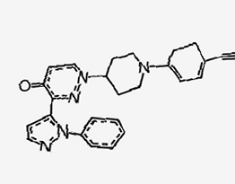 N#CC1=CC=C(N2CCC(n3ccc(=O)c(-c4ccnn4-c4ccccc4)n3)CC2)CC1